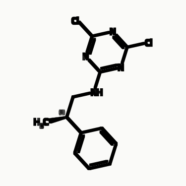 C[C@@H](CNc1nc(Cl)nc(Cl)n1)c1ccccc1